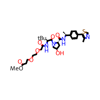 COC(=O)CCOCCOCC(=O)N[C@H](C(=O)N1C[C@H](O)C[C@H]1C(=O)N[C@@H](C)c1ccc(-c2scnc2C)cc1)C(C)(C)C